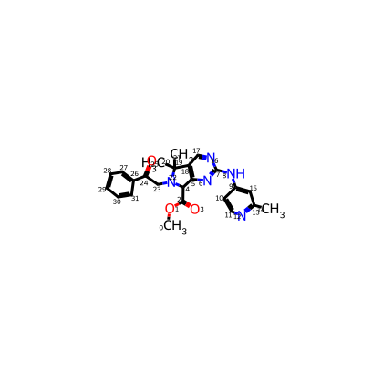 COC(=O)C1c2nc(Nc3ccnc(C)c3)ncc2C(C)(C)N1CC(=O)c1ccccc1